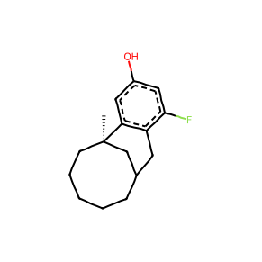 C[C@]12CCCCCC(Cc3c(F)cc(O)cc31)C2